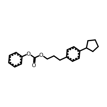 O=C(OCCCc1ccc(C2CCCC2)cc1)Oc1ccccc1